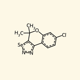 CC1(C)Oc2cc(Cl)ccc2-c2nn[se]c21